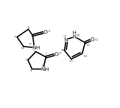 O=C1CCCN1.O=C1CCCN1.O=c1cccn[nH]1